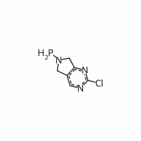 PN1Cc2cnc(Cl)nc2C1